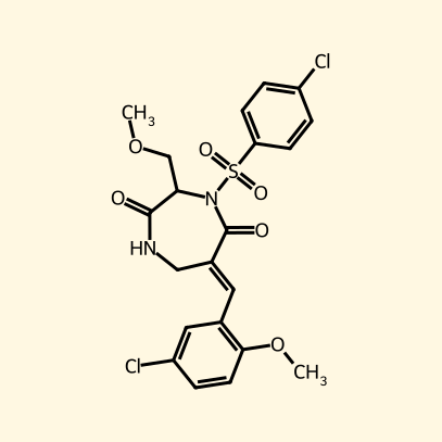 COCC1C(=O)NC/C(=C\c2cc(Cl)ccc2OC)C(=O)N1S(=O)(=O)c1ccc(Cl)cc1